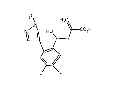 C=C(CC(O)c1cc(F)c(F)cc1-c1cnn(C)c1)C(=O)O